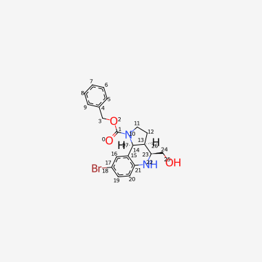 O=C(OCc1ccccc1)N1CC[C@@H]2[C@H]1c1cc(Br)ccc1N[C@@H]2CO